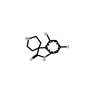 O=C1Nc2cc(Cl)cc(Cl)c2C12CCNCC2